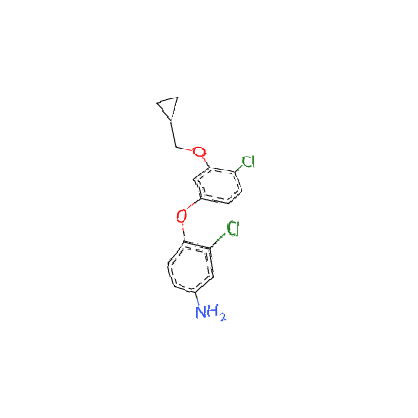 Nc1ccc(Oc2ccc(Cl)c(OCC3CC3)c2)c(Cl)c1